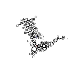 CCOC(N)=O.CC[C@]1(O)C[C@H]2C[N@](CCc3c([nH]c4ccccc34)[C@@](C(=O)OC)(c3cc4c(cc3OC)N(C)[C@H]3[C@@](O)(C(N)=O)[C@H](O)[C@]5(CC)C=CCN6CC[C@]43[C@@H]65)C2)C1.CN(C)/N=N/c1[nH]cnc1C(N)=O.N.O=C(CCBr)N1CCN(C(=O)CCBr)CC1.O=S(=O)(O)O.OC(CBr)C(O)C(O)C(O)CBr.O[C@@H]([C@H](O)[C@H](O)CBr)[C@H](O)CBr.O[C@@H]([C@H](O)[C@H](O)CNCCCl)[C@H](O)CNCCCl